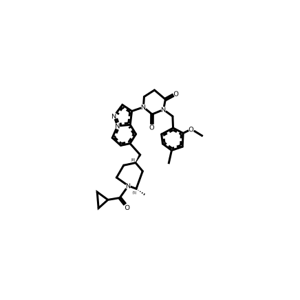 COc1cc(C)ccc1CN1C(=O)CCN(c2cnn3ccc(C[C@@H]4CCN(C(=O)C5CC5)[C@@H](C)C4)cc23)C1=O